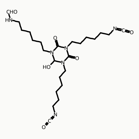 O=C=NCCCCCCN1C(=O)N(CCCCCCN=C=O)C(O)N(CCCCCCNC=O)C1=O